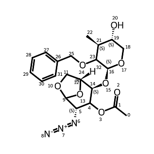 CC(=O)OC1[C@H](N=[N+]=[N-])C2OC[C@@H](O2)[C@H]1O[C@@H]1OC[C@@H](O)[C@H](C)C1OCc1ccccc1